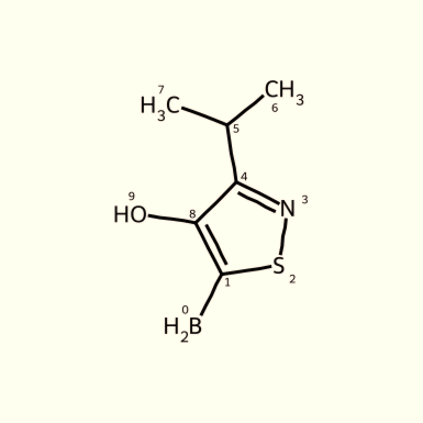 Bc1snc(C(C)C)c1O